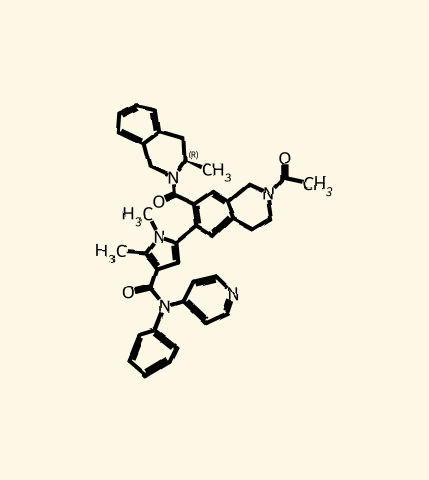 CC(=O)N1CCc2cc(-c3cc(C(=O)N(c4ccccc4)c4ccncc4)c(C)n3C)c(C(=O)N3Cc4ccccc4C[C@H]3C)cc2C1